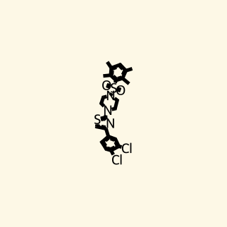 Cc1cc(C)c(C)c(S(=O)(=O)N2CCN(c3nc(-c4ccc(Cl)c(Cl)c4)cs3)CC2)c1C